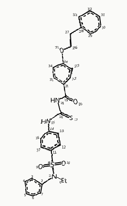 CCN(c1ccccc1)S(=O)(=O)c1ccc(NC(=S)NC(=O)c2ccc(OCCc3ccccc3)cc2)cc1